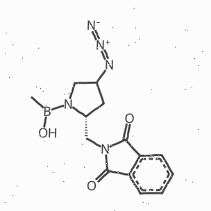 CB(O)N1CC(N=[N+]=[N-])C[C@@H]1CN1C(=O)c2ccccc2C1=O